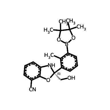 Cc1c(B2OC(C)(C)C(C)(C)O2)cccc1[C@]1(CO)Nc2cccc(C#N)c2O1